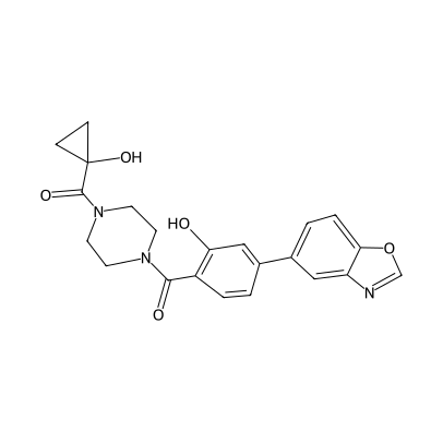 O=C(c1ccc(-c2ccc3ocnc3c2)cc1O)N1CCN(C(=O)C2(O)CC2)CC1